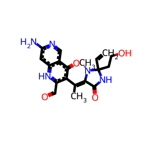 C=CC1(CCO)NC(=O)/C(=C(\C)c2c(C=O)[nH]c3cc(N)ncc3c2=O)N1C